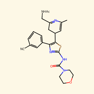 CC(=O)NCC1=NC(C)=CC(c2sc(NC(=O)N3CCOCC3)nc2-c2cccc(C#N)c2)C1